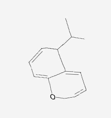 CC(C)C1C=CC=C2OC=CC=C21